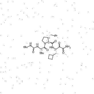 CC(C)C[C@H]1CCN(C(=O)[C@@H](NC(=O)NC(C)(C)C)C(C)(C)C)[C@@H]1C(=O)N[C@@H](CC1CCC1)C(=O)C(N)=O